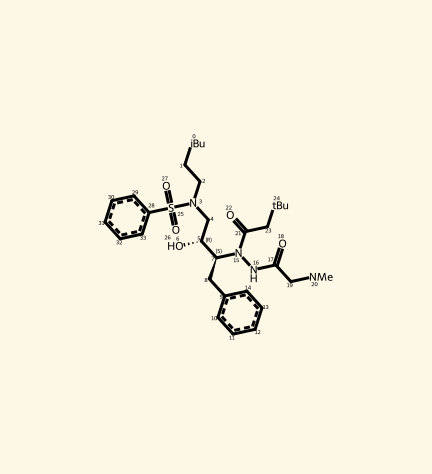 CCC(C)CCN(C[C@@H](O)[C@H](Cc1ccccc1)N(NC(=O)CNC)C(=O)CC(C)(C)C)S(=O)(=O)c1ccccc1